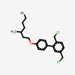 CC(C)CCCC(C)CCOc1ccc(-c2cc(CCl)ccc2CCl)cc1